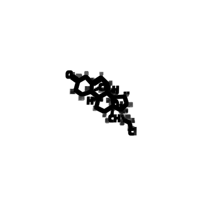 C[C@]12CC[C@H]3[C@@H](CC=C4CC(=O)CC[C@@]43C)[C@@H]1CC[C@@H]2CCCl